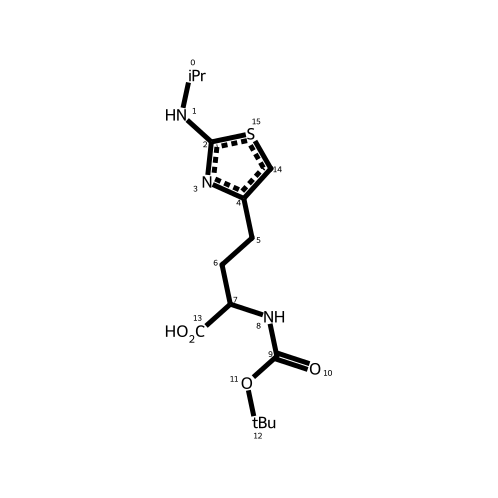 CC(C)Nc1nc(CCC(NC(=O)OC(C)(C)C)C(=O)O)cs1